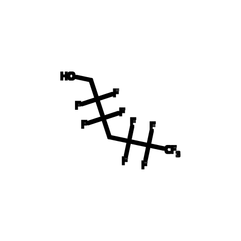 OCC(F)(F)C(F)(F)CC(F)(F)C(F)(F)C(F)(F)F